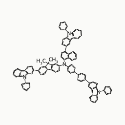 CC1(C)c2cc(-c3ccc4c5ccccc5n(-c5ccccc5)c4c3)ccc2-c2ccc(N(c3ccc(-c4ccc(-c5ccc6c(c5)c5ccccc5n6-c5ccccc5)cc4)cc3)c3ccc(-c4ccc5c(c4)c4ccccc4n5-c4ccccc4)c4ccccc34)cc21